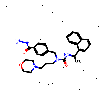 CC(NC(=O)N(CCCN1CCOCC1)Cc1ccc(C(=O)NN)cc1)c1cccc2ccccc12